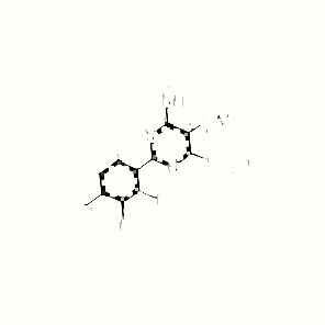 CCOC(=O)c1nc(-c2ccc(Cl)c(F)c2F)nc(N)c1OC